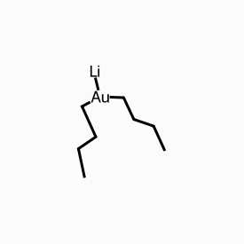 [Li][Au]([CH2]CCC)[CH2]CCC